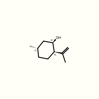 C=C(C)[C@H]1CC[C@H](C)C[C@H]1O